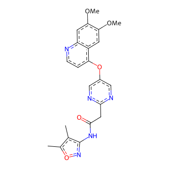 COc1cc2nccc(Oc3cnc(CC(=O)Nc4noc(C)c4C)nc3)c2cc1OC